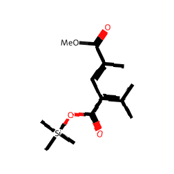 COC(=O)C(C)=CC(C(=O)O[Si](C)(C)C)=C(C)C